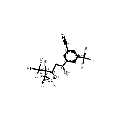 COC(CC(O)c1cc(C#N)cc(C(F)(F)F)c1)C(F)(C(F)(F)F)C(F)(F)F